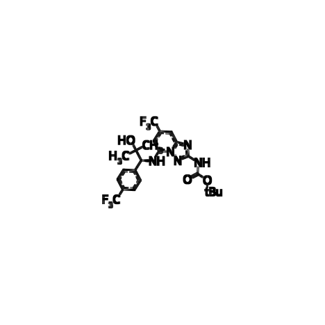 CC(C)(C)OC(=O)Nc1nc2cc(C(F)(F)F)cc(N[C@@H](c3ccc(C(F)(F)F)cc3)C(C)(C)O)n2n1